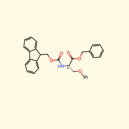 CC(C)OC[C@H](NC(=O)OCC1c2ccccc2-c2ccccc21)C(=O)OCc1ccccc1